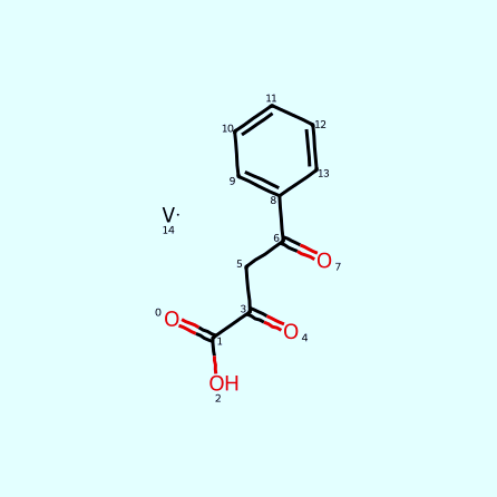 O=C(O)C(=O)CC(=O)c1ccccc1.[V]